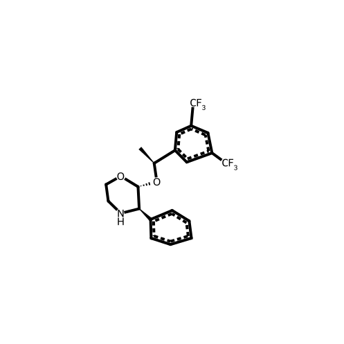 C[C@H](O[C@H]1OCCN[C@@H]1c1ccccc1)c1cc(C(F)(F)F)cc(C(F)(F)F)c1